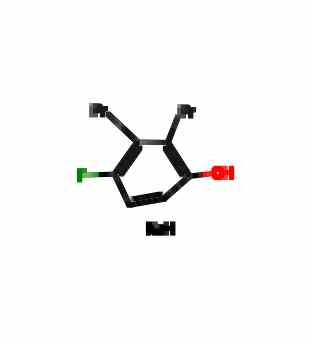 CC(C)c1c(O)ccc(F)c1C(C)C.[NaH]